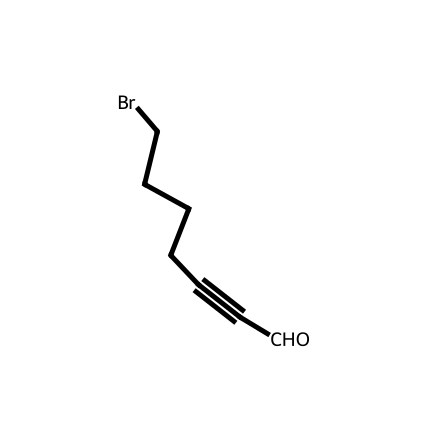 O=CC#CCCCCBr